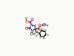 CN1C(=O)N(C(=O)OI)CC1(Cc1ccccc1)C(=O)OC(C)(C)C